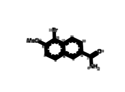 COc1ccc2cc(C(N)=O)ccc2c1Br